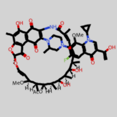 C=C(O)c1cn(C2CC2)c2c(OC)c(N3CCN(C4=C5NC(=O)/C(C)=C\C=C\[C@H](C)[C@H](O)[C@@H](C)[C@@H](O)[C@@H](C)[C@H](OC(C)=O)[C@H](C)[C@@H](OC)/C=C/O[C@@]6(C)Oc7c(C)c(O)c(c(c7C6=O)C4=O)C5=O)C(C)C3)c(F)cc2c1=O